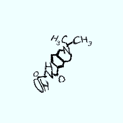 CC(C)N1CCc2cc(C(=O)NCC(=O)O)ccc2C1